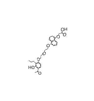 CCCc1c(OCCOCCOc2cccc3c(OCC(=O)O)cccc23)ccc(C(C)=O)c1O